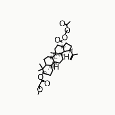 C=C(C)[C@@H]1CC[C@]2(C(=O)OCOC(C)=O)CC[C@]3(C)[C@H](CC[C@@H]4[C@@]5(C)CC[C@H](OC(=O)COC)C(C)(C)C5CC[C@]43C)C12